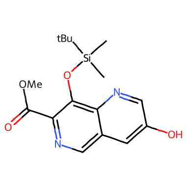 COC(=O)c1ncc2cc(O)cnc2c1O[Si](C)(C)C(C)(C)C